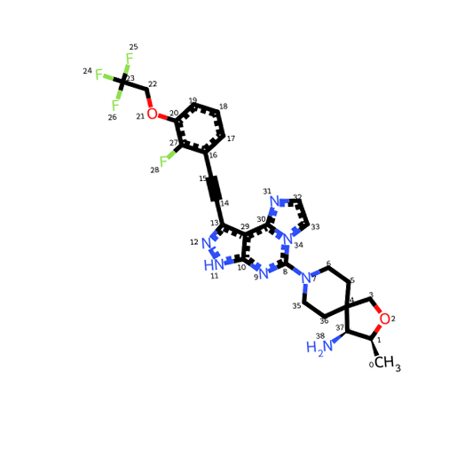 C[C@@H]1OCC2(CCN(c3nc4[nH]nc(C#Cc5cccc(OCC(F)(F)F)c5F)c4c4nccn34)CC2)[C@@H]1N